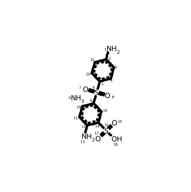 N.Nc1ccc(S(=O)(=O)c2ccc(N)c(S(=O)(=O)O)c2)cc1